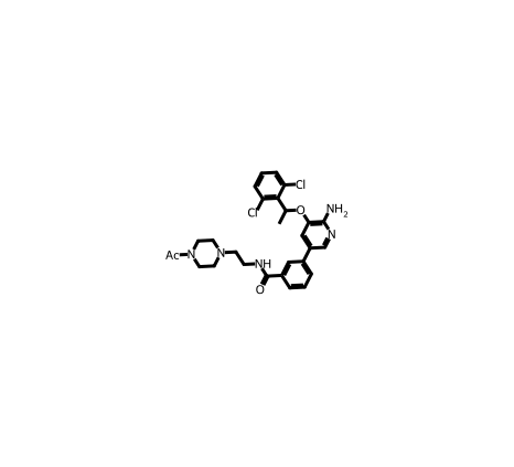 CC(=O)N1CCN(CCNC(=O)c2cccc(-c3cnc(N)c(OC(C)c4c(Cl)cccc4Cl)c3)c2)CC1